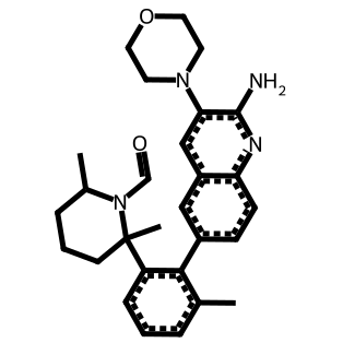 Cc1cccc(C2(C)CCCC(C)N2C=O)c1-c1ccc2nc(N)c(N3CCOCC3)cc2c1